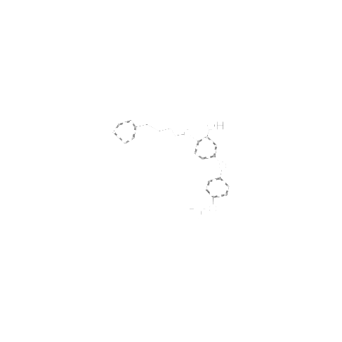 Oc1cc(Oc2ccc(OC(F)(F)F)cc2)ccc1OCCCCc1ccccc1